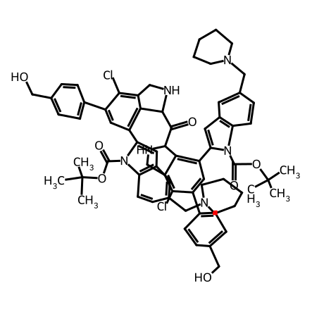 CC(C)(C)OC(=O)n1c(-c2cc(-c3ccc(CO)cc3)c(Cl)c3c2C(C(=O)C2NCc4c(Cl)c(-c5ccc(CO)cc5)cc(-c5cc6cc(CN7CCCCC7)ccc6n5C(=O)OC(C)(C)C)c42)NC3)cc2cc(CN3CCCCC3)ccc21